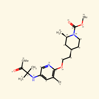 CCc1cc(NC(C)(C)C(=O)OC)cnc1OCC[C@@H]1CCN(C(=O)OC(C)(C)C)[C@H](C)C1